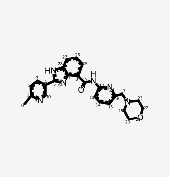 Cc1ccc(-c2nc3c(C(=O)Nc4cccc(CN5CCOCC5)n4)cccc3[nH]2)cn1